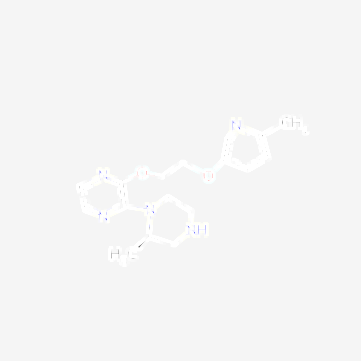 Cc1ccc(OCCOc2nccnc2N2CCNC[C@H]2C)cn1